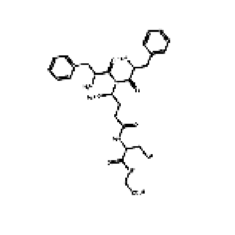 N[C@@H](Cc1ccccc1)C(=O)N(C(=O)[C@@H](N)Cc1ccccc1)[C@@H](CCC(=O)N[C@@H](CS)C(=O)NCC(=O)O)C(=O)O